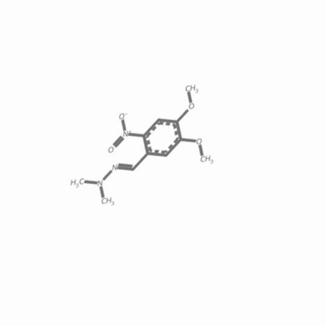 COc1cc(C=NN(C)C)c([N+](=O)[O-])cc1OC